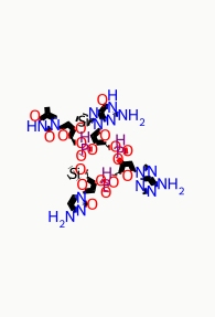 Cc1cn([C@H]2CC(O[Si](C)(C)C)[C@@H](CO[PH](=O)OC3C[C@H](n4cnc5c(=O)[nH]c(N)nc54)O[C@@H]3CO[PH](=O)OC3C[C@H](n4cnc5c(N)ncnc54)O[C@@H]3CO[PH](=O)OC3C[C@H](n4ccc(N)nc4=O)O[C@@H]3CO[Si](C)(C)C)O2)c(=O)[nH]c1=O